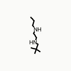 CCCNCCNCC(C)(C)C